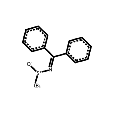 CC(C)(C)[S+]([O-])N=C(c1ccccc1)c1ccccc1